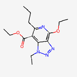 CCCc1nc(OCC)c2nnn(CC)c2c1C(=O)OCC